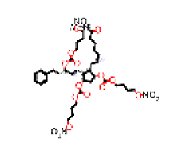 CNC(=O)CCC/C=C\C[C@@H]1[C@@H](/C=C/[C@H](CCc2ccccc2)OC(=O)OCCCCO[N+](=O)[O-])[C@H](OC(=O)OCCCCO[N+](=O)[O-])C[C@@H]1OC(=O)OCCCCO[N+](=O)[O-]